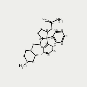 CN1CCN(CCN2CCC(CC(N)=O)C2(c2ccccc2)c2ccccc2)CC1